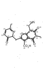 CC1=NC(Cc2sc3c(c2C(=O)O)c(=O)n(C)c(=O)n3CC(C)C)C(=O)N=C1